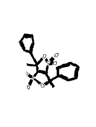 CC1(c2ccccc2)OS(=O)(=O)C2=C1S(=O)(=O)OC2(C)c1ccccc1